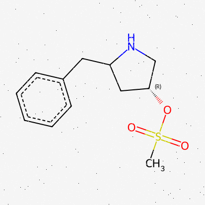 CS(=O)(=O)O[C@H]1CNC(Cc2ccccc2)C1